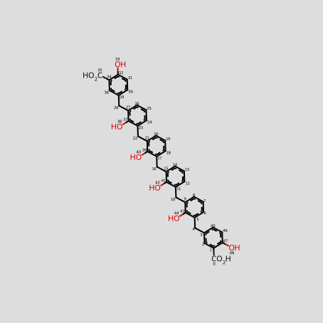 O=C(O)c1cc(Cc2cccc(Cc3cccc(Cc4cccc(Cc5cccc(Cc6ccc(O)c(C(=O)O)c6)c5O)c4O)c3O)c2O)ccc1O